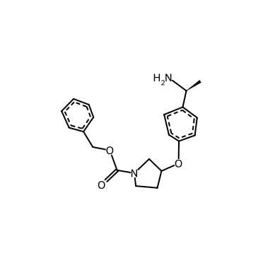 C[C@H](N)c1ccc(OC2CCN(C(=O)OCc3ccccc3)C2)cc1